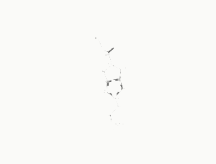 COCCn1cc2c(n1)CN(C(=O)OC(C)(C)C)C2